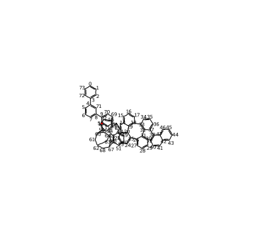 c1ccc(-c2cccc(-c3ccc(N(c4cccc5c4-c4ccccc4-c4ccccc4-c4c-5cccc4-c4cccc5ccccc45)c4cccc5c4-c4ccccc4C4CC6CC(C4)CC5C6)cc3)c2)cc1